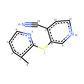 Cc1cccnc1Sc1cnccc1C#N